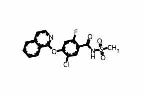 CS(=O)(=O)NC(=O)c1cc(Cl)c(Oc2nccc3ccccc23)cc1F